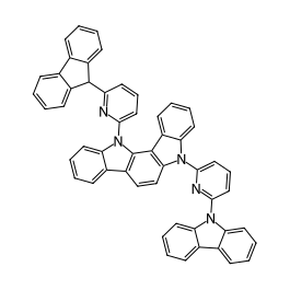 c1cc(-n2c3ccccc3c3ccccc32)nc(-n2c3ccccc3c3c2ccc2c4ccccc4n(-c4cccc(C5c6ccccc6-c6ccccc65)n4)c23)c1